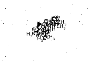 CC(C)C(NC(=O)N[C@H](C(=O)N1CCC(C(C)(C)C)[C@H]1C(=O)NC(CC1CC1)C(=O)C(N)=O)C(C)(C)C)C1CCCS1(=O)=O